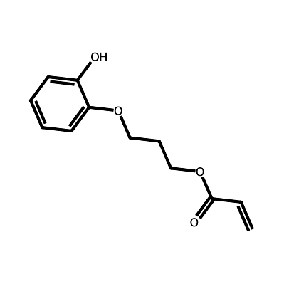 C=CC(=O)OCCCOc1ccccc1O